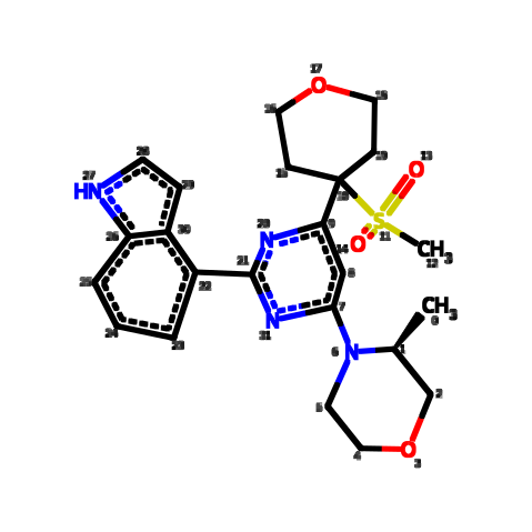 C[C@H]1COCCN1c1cc(C2(S(C)(=O)=O)CCOCC2)nc(-c2cccc3[nH]ccc23)n1